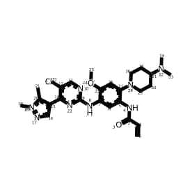 C=CC(=O)Nc1cc(Nc2ncc(Cl)c(-c3cnn(C)c3C)n2)c(OC)cc1N1CCC(N(C)C)CC1